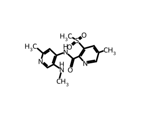 CNc1cnc(C)cc1NC(=O)c1ncc(C)cc1S(C)(=O)=O